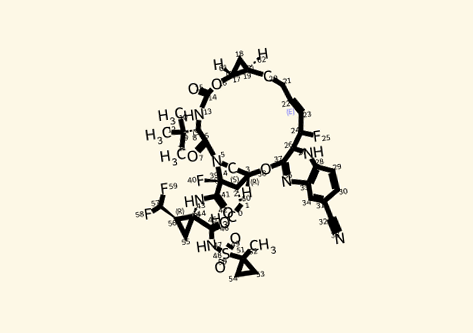 CC[C@H]1[C@@H]2CN(C(=O)[C@H](C(C)(C)C)NC(=O)O[C@@H]3C[C@H]3CC/C=C/C(F)C3Nc4ccc(C#N)cc4N=C3O2)[C@@]1(F)C(=O)N[C@]1(C(=O)NS(=O)(=O)C2(C)CC2)C[C@H]1C(F)F